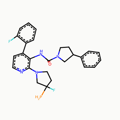 O=C(Nc1c(-c2ccccc2F)ccnc1N1CCC(F)(P)C1)N1CCC(c2ccccc2)C1